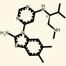 CNC[C@@H](Nc1cc(-n2c(N)nc3cc(C)c(C)cc32)ncn1)C(C)C